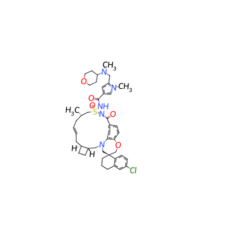 C[C@H]1C/C=C/C[C@@H]2CC[C@H]2CN2C[C@@]3(CCCc4cc(Cl)ccc43)COc3ccc(cc32)C(=O)N=S(=O)(NC(=O)c2cc(CN(C)C3CCOCC3)n(C)c2)C1